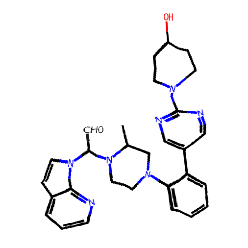 CC1CN(c2ccccc2-c2cnc(N3CCC(O)CC3)nc2)CCN1C(C=O)n1ccc2cccnc21